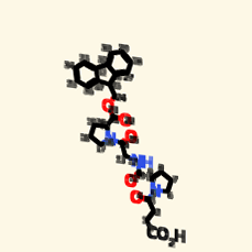 O=C(O)CCC(=O)N1CCC[C@H]1C(=O)NCC(=O)N1CCC[C@H]1C(=O)OCC1c2ccccc2-c2ccccc21